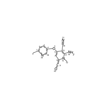 Cc1ccc(OC2=CC(=C=O)N(C)C(N)=C2C#N)cn1